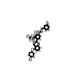 CC(=O)O.O=C1CCC(Oc2cccc3nc(-c4ccc(NOCc5cccc(F)c5)cc4Cl)ncc23)CC1